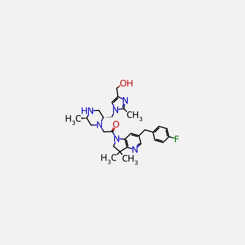 Cc1nc(CO)cn1C[C@H]1CN[C@H](C)CN1CC(=O)N1CC(C)(C)c2ncc(Cc3ccc(F)cc3)cc21